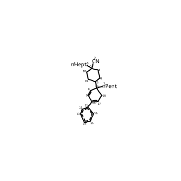 CCCCCCCC1(C#N)CCC(C2(CCCCC)C=CC(c3ccccc3)=CC2)CC1